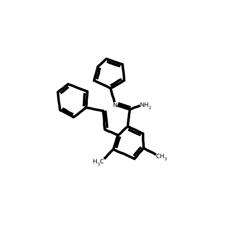 Cc1cc(C)c(C=Cc2ccccc2)c(C(N)=Nc2ccccc2)c1